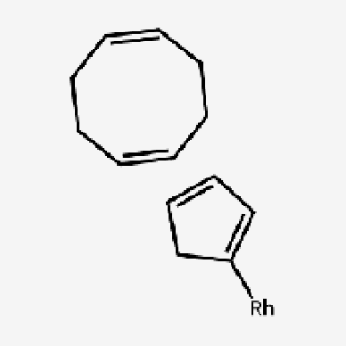 C1=C\CC/C=C\CC/1.[Rh][C]1=CC=CC1